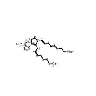 COCCCCCC/C=C/[C@@H]1CC[C@@H](O[Si](C)(C)C(C)(C)C)C1C/C=C\CCCCOC(C)=O